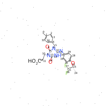 Cc1ccc(Cn2c(=O)n(CCC(=O)O)c(=O)[nH]/c2=N\c2ccc(O[C@H](C)C(F)F)cc2)cc1